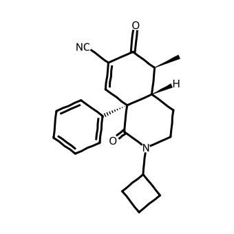 C[C@@H]1C(=O)C(C#N)=C[C@]2(c3ccccc3)C(=O)N(C3CCC3)CC[C@@H]12